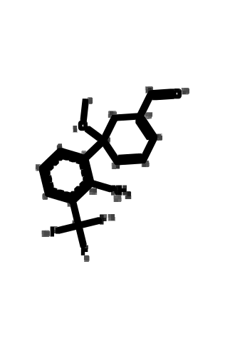 COC1(c2cccc(C(F)(F)F)c2N)C=CC=C(C=O)C1